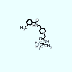 Cc1cccc(C(=O)NCC2CCN(CC(=O)NC(C)(C)C)CC2)c1